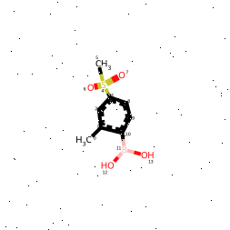 Cc1cc(S(C)(=O)=O)ccc1B(O)O